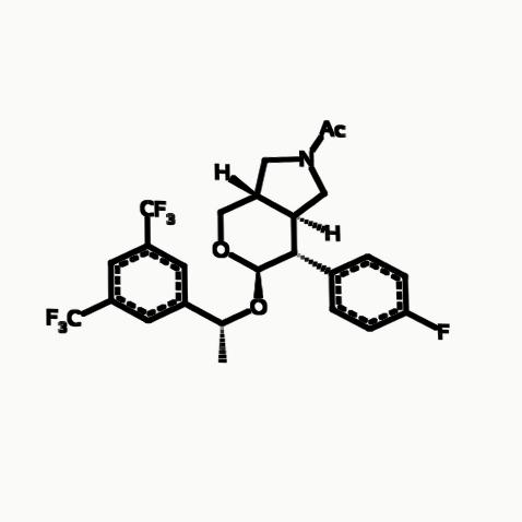 CC(=O)N1C[C@H]2CO[C@H](O[C@H](C)c3cc(C(F)(F)F)cc(C(F)(F)F)c3)[C@@H](c3ccc(F)cc3)[C@@H]2C1